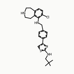 CC(C)(C)CNc1nc(-c2ccc(CNc3c(Cl)ccc4c3CCNCC4)cc2)cs1